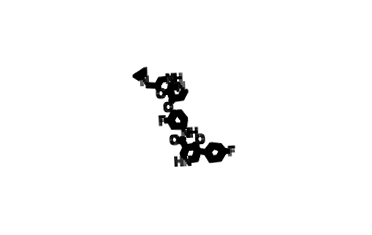 O=C(Nc1ccc(Oc2ccnc3c2OC(CN2CC2)CN3)c(F)c1)c1c[nH]cc(-c2ccc(F)cc2)c1=O